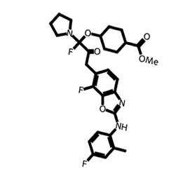 COC(=O)C1CCC(OC(F)(C(=O)Cc2ccc3nc(Nc4ccc(F)cc4C)oc3c2F)N2CCCC2)CC1